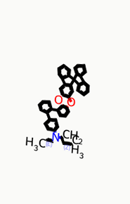 C=C(/C=C\C)N(/C=C/C)c1ccc(-c2ccccc2-c2cccc3c2Oc2cc4c(cc2O3)C2(c3ccccc3-c3ccccc32)c2ccccc2-4)cc1